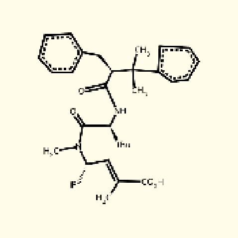 CC(=C[C@H](C(C)C)N(C)C(=O)[C@@H](NC(=O)[C@@H](Cc1ccccc1)C(C)(C)c1ccccc1)C(C)(C)C)C(=O)O